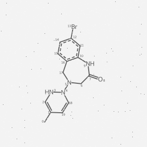 CC1=CNN(N2CC(=O)Nc3cc(Br)ccc3C2)C=C1